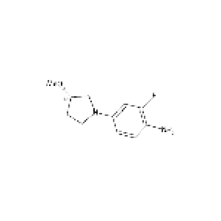 CO[C@H]1CCN(c2ccc(N)c(F)c2)C1